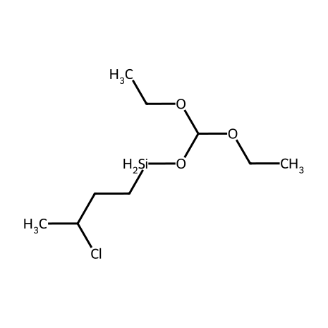 CCOC(OCC)O[SiH2]CCC(C)Cl